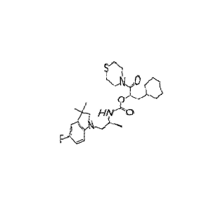 C[C@@H](CN1CC(C)(C)c2cc(F)ccc21)NC(=O)OC(CC1CCCCC1)C(=O)N1CCSCC1